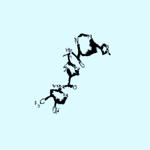 C[C@@H](NC(=O)c1cc(-c2cnn(C)c2)ncn1)c1ncc(C(=O)Nc2cc(C(F)(F)F)c(O)cn2)s1